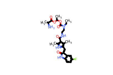 CCN(CCNC(=O)c1c(C)[nH]c(C=C2C(=O)Nc3ccc(F)cc32)c1C)C(=O)OC(C)OC(=O)C(C)N